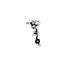 CN1N=C(C#N)C2N=CN(Cc3nn(CCc4ccc(Cl)cc4)c(=O)o3)C(=O)C21